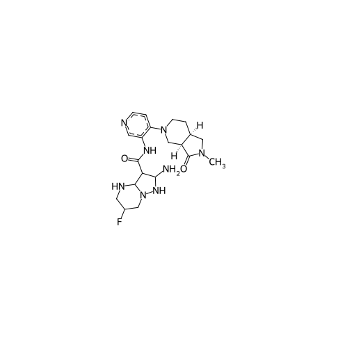 CN1C[C@@H]2CCN(c3ccncc3NC(=O)C3C(N)NN4CC(F)CNC34)C[C@@H]2C1=O